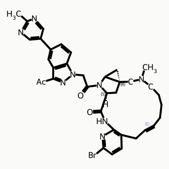 CC(=O)c1nn(CC(=O)N2C3C[C@]34C[C@H]2C(=O)Nc2nc(Br)ccc2C/C=C/CCCCN(C)C4)c2ccc(-c3cnc(C)nc3)cc12